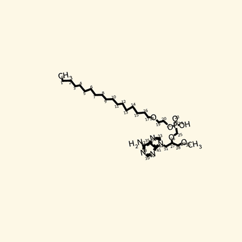 CCCCCCCCCCCCCCCCCCOCCOP(=O)(O)COC(COC)Cn1cnc2c(N)ncnc21